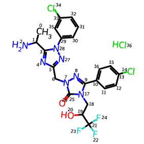 CC(N)c1nc(Cn2nc(-c3ccc(Cl)cc3)n(CC(O)C(F)(F)F)c2=O)nn1-c1cccc(Cl)c1.Cl